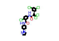 O=C(Nc1ccc(-n2cccn2)cc1)c1cc(NC(=O)[C@@H]2[C@@H](c3cc(Cl)cc(Cl)c3)C2(Cl)Cl)ccc1Cl